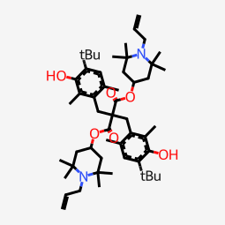 C=CCN1C(C)(C)CC(OC(=O)C(Cc2c(C)cc(C(C)(C)C)c(O)c2C)(Cc2c(C)cc(C(C)(C)C)c(O)c2C)C(=O)OC2CC(C)(C)N(CC=C)C(C)(C)C2)CC1(C)C